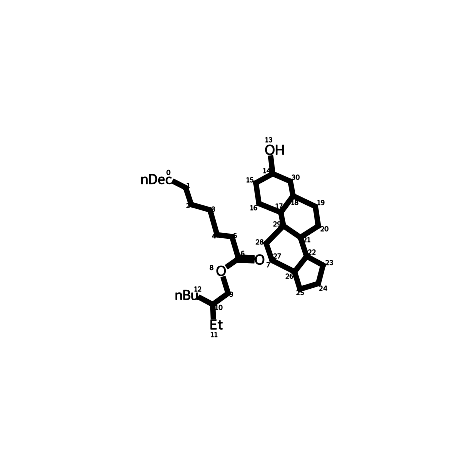 CCCCCCCCCCCCCCCC(=O)OCC(CC)CCCC.OC1CCC2C(CCC3C4CCCC4CCC23)C1